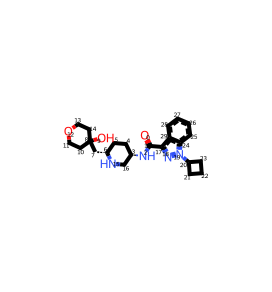 O=C(N[C@H]1CC[C@@H](CC2(O)CCOCC2)NC1)c1nn(C2CCC2)c2ccccc12